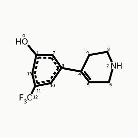 Oc1cc(C2=CCNCC2)cc(C(F)(F)F)c1